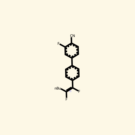 CCCC/C(F)=C(/F)c1ccc(-c2ccc(C#N)c(F)c2)cc1